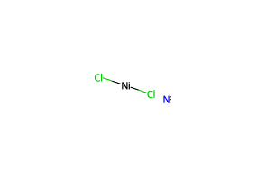 [Cl][Ni][Cl].[N]